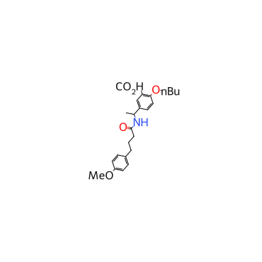 CCCCOc1ccc(C(C)NC(=O)CCCc2ccc(OC)cc2)cc1C(=O)O